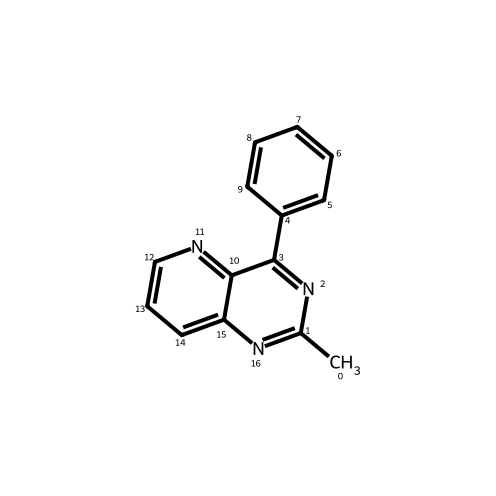 Cc1nc(-c2ccccc2)c2ncccc2n1